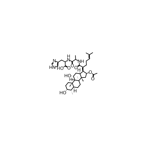 CC(=O)O[C@H]1C[C@@]2(C)[C@@H](C[C@@H](O)[C@H]3[C@@]4(C)CC[C@@H](O)[C@@H](C)[C@@H]4CC[C@@]32C)C1=C(CCC=C(C)C)C(=O)NC(C)C(=O)NC(Cc1c[nH]cn1)C(=O)O